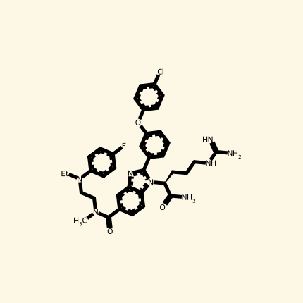 CCN(CCN(C)C(=O)c1ccc2c(c1)nc(-c1cccc(Oc3ccc(Cl)cc3)c1)n2[C@@H](CCCNC(=N)N)C(N)=O)c1ccc(F)cc1